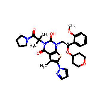 COc1ccccc1[C@H](CN1c2sc(-n3cccn3)c(C)c2C(=O)N(C(C)(C)C(=O)N2CCCC2)C1O)OC1CCOCC1